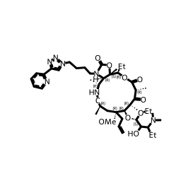 C=CC[C@@]1(OC)C[C@@H](C)CN[C@H](C)[C@H]2N(CCCCn3cc(-c4ccccn4)nn3)C(=O)O[C@]2(C)[C@@H](CC)OC(=O)[C@H](C)C(=O)[C@H](C)[C@H]1O[C@H](OCC)C(O)C(CC)N(C)C